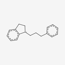 c1ccc(CCC[C]2CCc3ccccc32)cc1